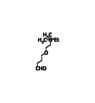 CC[N+](C)(C)CCOCCCC=O